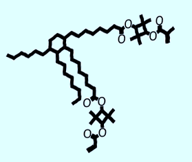 C=CC(=O)OC1C(C)(C)C(OC(=O)CCCCCCCC2C(CCCCCCCC(=O)OC3C(C)(C)C(OC(=O)C(=C)C)C3(C)C)CCC(CCCCCC)C2CCCCCCCC)C1(C)C